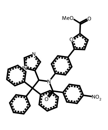 COC(=O)c1ccc(-c2ccc(N(C(=O)c3ccc([N+](=O)[O-])cc3)C(c3cnc[nH]3)C(c3ccccc3)(c3ccccc3)c3ccccc3)cc2)o1